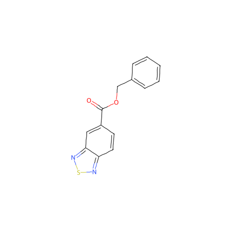 O=C(OCc1ccccc1)c1ccc2nsnc2c1